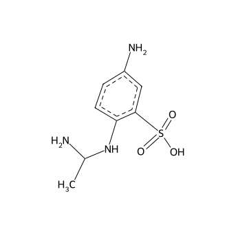 CC(N)Nc1ccc(N)cc1S(=O)(=O)O